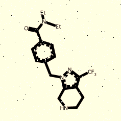 CCN(CC)C(=O)c1ccc(Cn2nc(C(F)(F)F)c3c2CNCC3)cc1